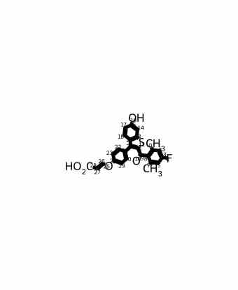 Cc1cc(F)cc(C)c1C(=O)c1sc2cc(O)ccc2c1-c1ccc(O/C=C/C(=O)O)cc1